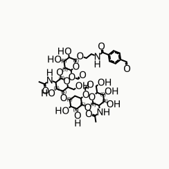 CC(=O)NC1[C@@H](O[C@@H]2C(OC=O)C[C@@H](O[C@@H]3C(CO)O[C@H](O[C@@H]4C(OC=O)O[C@@H](OCCNC(=O)c5ccc(C=O)cc5)C(O)[C@H]4O)C(NC(C)=O)[C@H]3O)C(O)[C@H]2O)OC(CO)[C@@H](O)[C@@H]1O